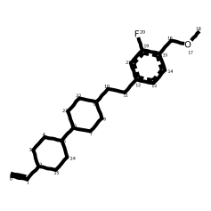 C=CC1CCC(C2CCC(CCc3ccc(COC)c(F)c3)CC2)CC1